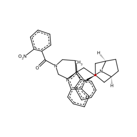 Cc1nc2ccccc2n1[C@H]1C[C@H]2CC[C@@H](C1)N2CCC1(c2ccccc2)CCN(C(=O)c2ccccc2[N+](=O)[O-])CC1